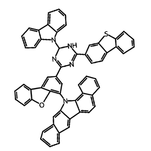 c1ccc2cc3c(cc2c1)c1ccc2ccccc2c1n3-c1cc(C2=NC(n3c4ccccc4c4ccccc43)NC(c3ccc4c(c3)sc3ccccc34)=N2)cc2c1oc1ccccc12